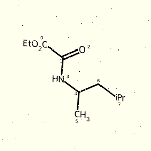 CCOC(=O)C(=O)NC(C)CC(C)C